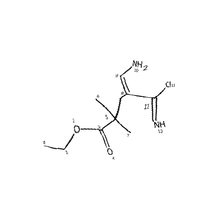 CCOC(=O)C(C)(C)/C(=C/N)C(=N)Cl